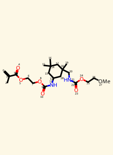 C=C(C)C(=O)OCCOC(=O)NC1CC(C)(C)CC(C)(CNC(=O)OCCOC)C1